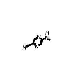 CNc1cnc(C#N)cn1